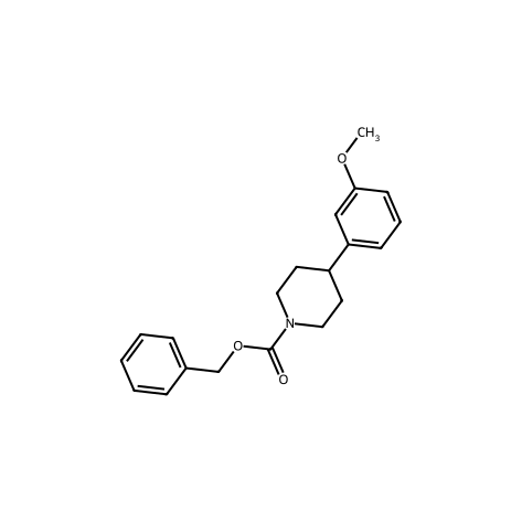 COc1cccc(C2CCN(C(=O)OCc3ccccc3)CC2)c1